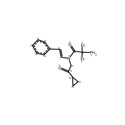 CCC(P)(CC)C(=O)N(C=Cc1ccccc1)CC(=O)[C]1CC1